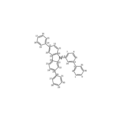 c1ccc(-c2cccc(-n3c4ccc(-c5ccccc5)cc4c4ccc(-c5ccccc5)cc43)c2)cc1